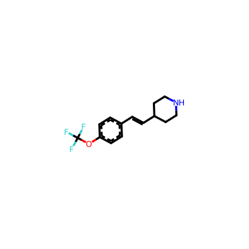 FC(F)(F)Oc1ccc(/C=C/C2CCNCC2)cc1